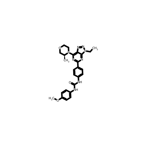 CCn1nnc2c(N3CCOC[C@@H]3C)nc(-c3ccc(NC(=O)Nc4ccc(OC)cc4)cc3)nc21